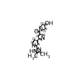 Cc1nc(-c2cc(-c3cncc(C(=O)N4CCC(O)CC4)c3)ccn2)[nH]c1C